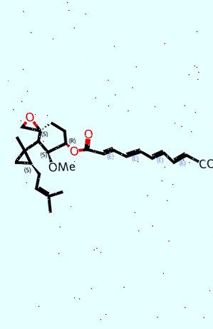 CO[C@H]1C(C2(C)C[C@@H]2CC=C(C)C)[C@@]2(CC[C@H]1OC(=O)/C=C/C=C/C=C/C=C/C(=O)O)CO2